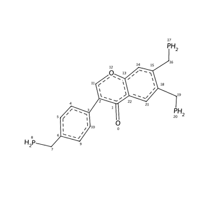 O=c1c(-c2ccc(CP)cc2)coc2cc(CP)c(CP)cc12